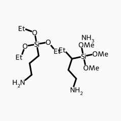 CCC(CCN)[Si](OC)(OC)OC.CCO[Si](CCCN)(OCC)OCC.N